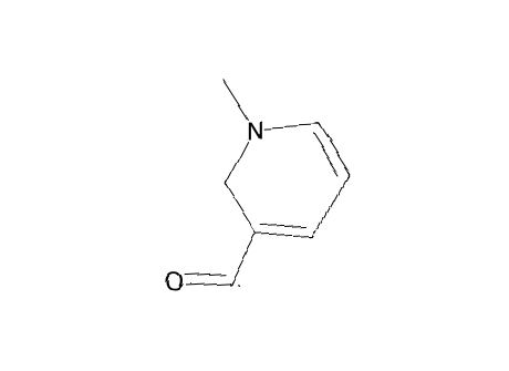 CN1C=CC=C([C]=O)C1